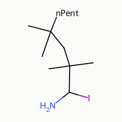 CCCCCC(C)(C)CC(C)(C)C(N)I